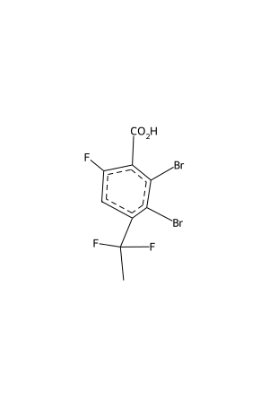 CC(F)(F)c1cc(F)c(C(=O)O)c(Br)c1Br